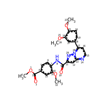 COC(=O)c1ccc(NC(=O)c2cc3nccc(-c4ccc(OC)c(OC)c4)n3n2)c(OC)c1